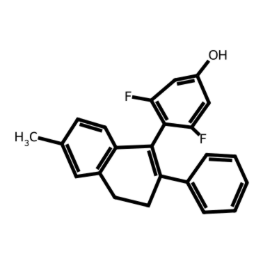 Cc1ccc2c(c1)CCC(c1ccccc1)=C2c1c(F)cc(O)cc1F